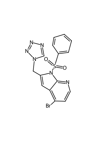 O=S(=O)(c1ccccc1)n1c(Cn2cnnn2)cc2c(Br)ccnc21